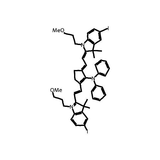 COCCCN1/C(=C/C=C2\CCC(/C=C/C3=[N+](CCCOC)c4ccc(I)cc4C3(C)C)=C2N(c2ccccc2)c2ccccc2)C(C)(C)c2cc(I)ccc21